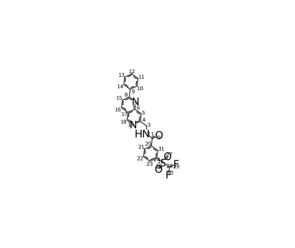 O=C(NCc1cc2nc(-c3ccccc3)ccc2cn1)c1cccc(S(=O)(=O)C(F)F)c1